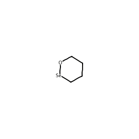 C1CC[Se]OC1